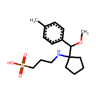 COC(c1ccc(C)cc1)C1(NCCCS(=O)(=O)O)CCCC1